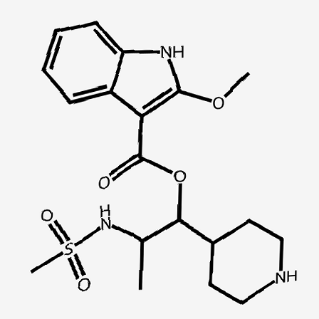 COc1[nH]c2ccccc2c1C(=O)OC(C1CCNCC1)C(C)NS(C)(=O)=O